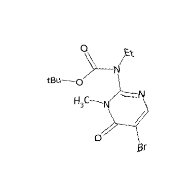 CCN(C(=O)OC(C)(C)C)c1ncc(Br)c(=O)n1C